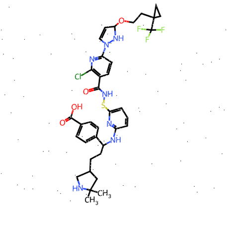 CC1(C)CC(CCC(Nc2cccc(SNC(=O)c3ccc(N4C=CC(OCCC5(C(F)(F)F)CC5)N4)nc3Cl)n2)c2ccc(C(=O)O)cc2)CN1